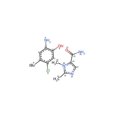 CC(C)(C)c1cc(N)c(O)cc1Cl.Cc1ncc(C(N)=O)n1C